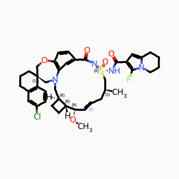 CO[C@H]1/C=C/C[C@H](C)C[S@@](=O)(NC(=O)c2cc3n(c2F)CCCC3)=NC(=O)c2ccc3c(c2)N(C[C@@H]2CC[C@H]21)C[C@@]1(CCCc2cc(Cl)ccc21)CO3